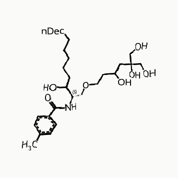 CCCCCCCCCCCCCCCC(O)[C@H](COCCC(O)CC(O)(CO)CO)NC(=O)c1ccc(C)cc1